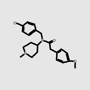 COc1ccc(CC(=O)N(Cc2ccc(Cl)cc2)C2CCN(C)CC2)cc1